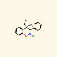 CC1(CBr)c2ccccc2ON(Br)C1c1ccccc1